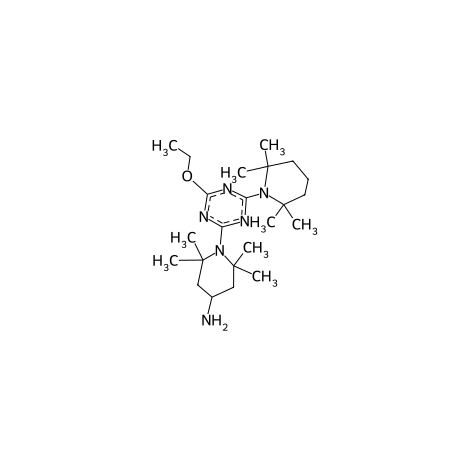 CCOc1nc(N2C(C)(C)CCCC2(C)C)nc(N2C(C)(C)CC(N)CC2(C)C)n1